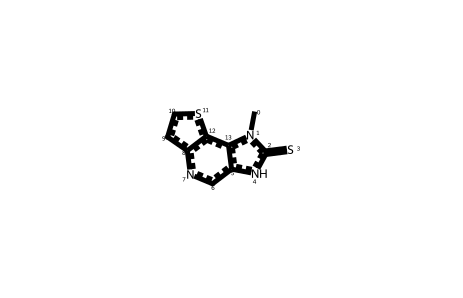 Cn1c(=S)[nH]c2cnc3ccsc3c21